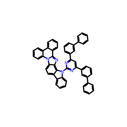 c1ccc(-c2cccc(-c3cc(-c4cccc(-c5ccccc5)c4)nc(-n4c5ccccc5c5ccc6c(nc7c8ccccc8c8ccccc8n67)c54)n3)c2)cc1